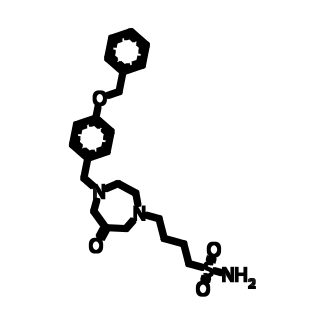 NS(=O)(=O)CCCCN1CCN(Cc2ccc(OCc3ccccc3)cc2)CC(=O)C1